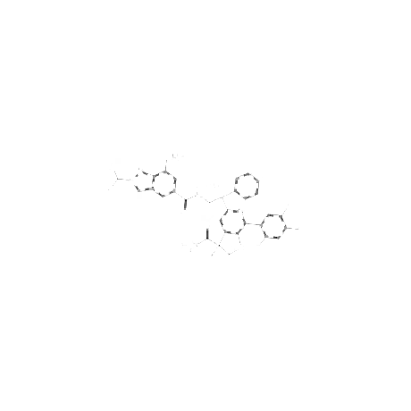 COc1cc(C(=O)NC[C@@](O)(c2ccccc2)c2cc3c(c(-c4cc(F)c(F)cc4F)n2)OC[C@]3(C)C(N)=O)cc2cn(C(F)F)nc12